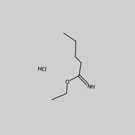 CCCCC(=N)OCC.Cl